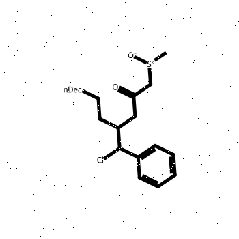 CCCCCCCCCCCCC(CC(=O)C[S+](C)[O-])C(Cl)c1ccccc1